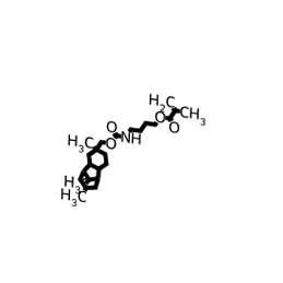 C=C(C)C(=O)OCCCCNC(=O)OCC1(C)CCC2C3CC(C)CC(C3C)C2C1